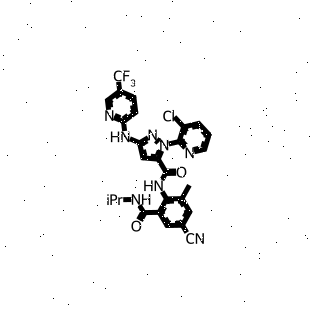 Cc1cc(C#N)cc(C(=O)NC(C)C)c1NC(=O)c1cc(Nc2ccc(C(F)(F)F)cn2)nn1-c1ncccc1Cl